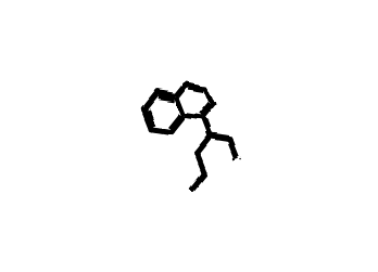 [CH2]CC(CCC)c1cccc2ccccc12